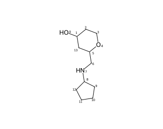 OC1CCOC(CNC2CCCC2)C1